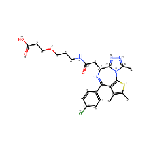 Cc1sc2c(c1C)C(c1ccc(Cl)cc1)=N[C@@H](CC(=O)NCCCOCCC(=O)O)c1nnc(C)n1-2